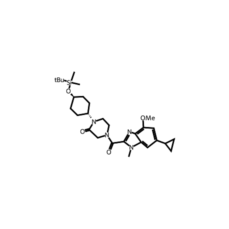 COc1cc(C2CC2)cc2c1nc(C(=O)N1CCN([C@H]3CC[C@H](O[Si](C)(C)C(C)(C)C)CC3)C(=O)C1)n2C